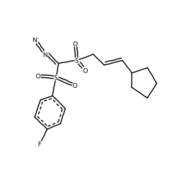 [N-]=[N+]=C(S(=O)(=O)CC=CC1CCCC1)S(=O)(=O)c1ccc(F)cc1